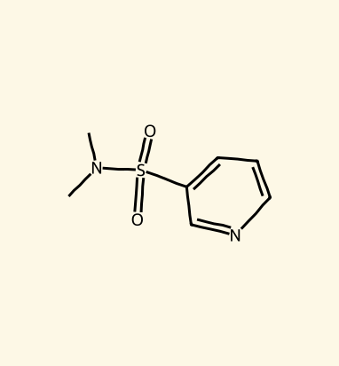 CN(C)S(=O)(=O)c1cccnc1